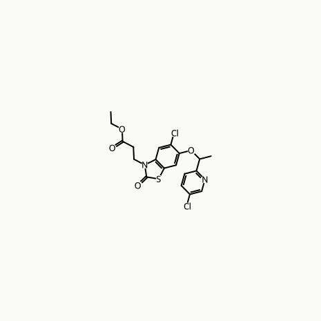 CCOC(=O)CCn1c(=O)sc2cc(OC(C)c3ccc(Cl)cn3)c(Cl)cc21